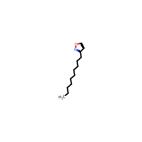 [CH2]CCCCCCCCCc1ccon1